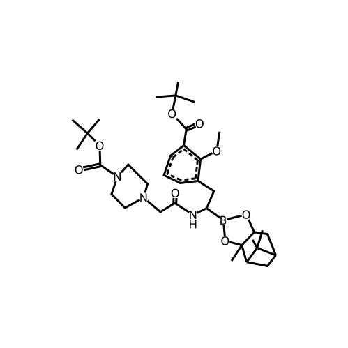 COc1c(CC(NC(=O)CN2CCN(C(=O)OC(C)(C)C)CC2)B2OC3CC4CC(C4(C)C)C3(C)O2)cccc1C(=O)OC(C)(C)C